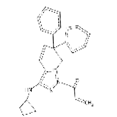 C=CC(=O)n1nc(NC2CCC2)c2c1CC(c1ccccc1)(c1ccccc1)C=C2